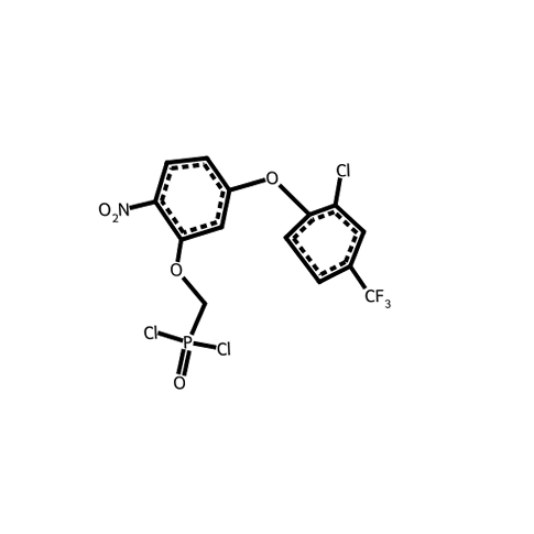 O=[N+]([O-])c1ccc(Oc2ccc(C(F)(F)F)cc2Cl)cc1OCP(=O)(Cl)Cl